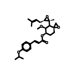 CO[C@H]1C([C@]2(C)O[C@H]2CC=C(C)C)[C@]2(CC[C@H]1OC(=O)/C=C/c1ccc(OC(C)C)cc1)CO2